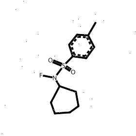 Cc1ccc(S(=O)(=O)N(F)C2CCCCC2)cc1